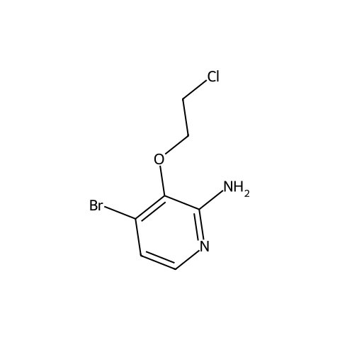 Nc1nccc(Br)c1OCCCl